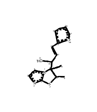 CC1Sc2nccn2C1(C)C(O)/C=C/c1ccco1